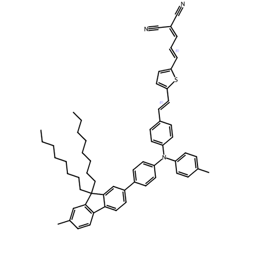 CCCCCCCCC1(CCCCCCCC)c2cc(C)ccc2-c2ccc(-c3ccc(N(c4ccc(C)cc4)c4ccc(/C=C/c5ccc(/C=C/C=C(C#N)C#N)s5)cc4)cc3)cc21